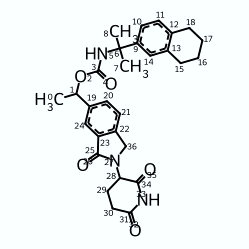 CC(OC(=O)NC(C)(C)c1ccc2c(c1)CCCC2)c1ccc2c(c1)C(=O)N(C1CCC(=O)NC1=O)C2